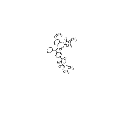 CCN(CC)S(=O)(=O)NC(=O)c1ccc2c(C3CCCCC3)c3n(c2c1)CC(C)(C(=O)OC)Cc1cc(OC)ccc1-3